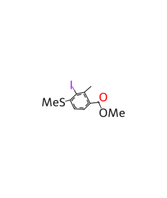 COC(=O)c1ccc(SC)c(I)c1C